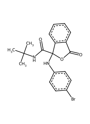 CC(C)(C)NC(=O)C1(Nc2ccc(Br)cc2)OC(=O)c2ccccc21